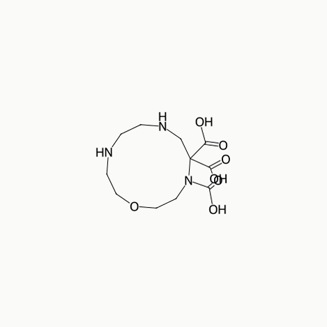 O=C(O)N1CCOCCNCCNCC1(C(=O)O)C(=O)O